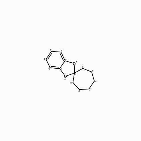 c1ccc2c(c1)OC1(CCCCCC1)O2